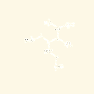 COCC(NCC=O)C(N)N(C)C=O